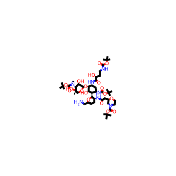 CN(C(=O)OC(C)(C)C)[C@@H]1[C@@H](O)[C@@H](O[C@@H]2[C@@H](O)[C@H](C3OC(CN)=CC[C@H]3NC(=O)CC3CN(C(=O)OC(C)(C)C)CCO3)[C@@H](NC(=O)OC(C)(C)C)C[C@H]2NC(=O)[C@@H](O)CCNC(=O)OC(C)(C)C)OC[C@]1(C)O